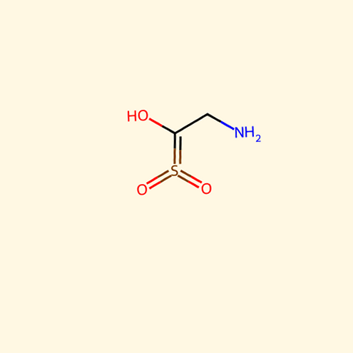 NCC(O)=S(=O)=O